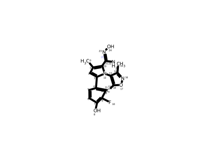 Cc1cc(-c2ccc(O)c(F)c2)n(-c2c(C)noc2C)c1/C(N)=N/O